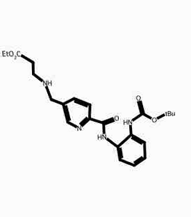 CCOC(=O)CCNCc1ccc(C(=O)Nc2ccccc2NC(=O)OC(C)(C)C)nc1